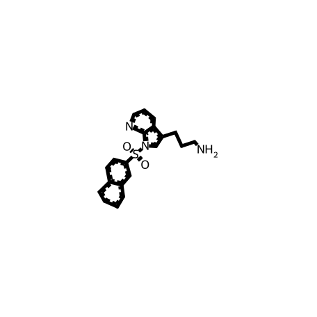 NCCCc1cn(S(=O)(=O)c2ccc3ccccc3c2)c2ncccc12